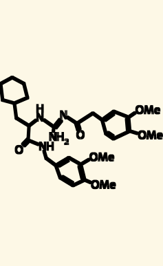 COc1ccc(CNC(=O)C(CC2CCCCC2)NC(N)=NC(=O)Cc2ccc(OC)c(OC)c2)cc1OC